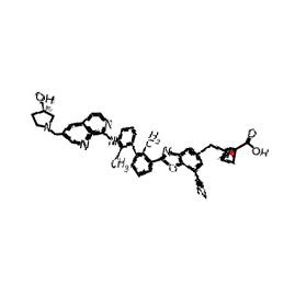 Cc1c(Nc2nccc3cc(CN4CC[C@@H](O)C4)cnc23)cccc1-c1cccc(-c2nc3cc(CN4CC5(C(=O)O)CC4C5)cc(C#N)c3o2)c1C